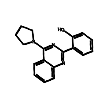 Oc1ccccc1-c1nc(N2CCCC2)c2ccccc2n1